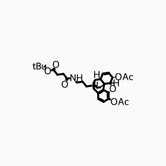 CC(=O)Oc1ccc2c3c1O[C@H]1[C@@H](OC(C)=O)C=C[C@H]4C(C2)N(CCCNC(=O)CCC(=O)OC(C)(C)C)CC[C@@]341